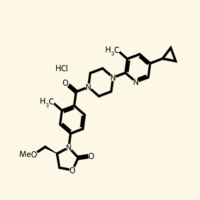 COC[C@@H]1COC(=O)N1c1ccc(C(=O)N2CCN(c3ncc(C4CC4)cc3C)CC2)c(C)c1.Cl